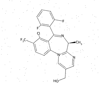 C[C@@H]1N=C(c2c(F)cccc2F)c2c(ccc(C(F)(F)F)c2Cl)-[n+]2cc(CO)cnc21